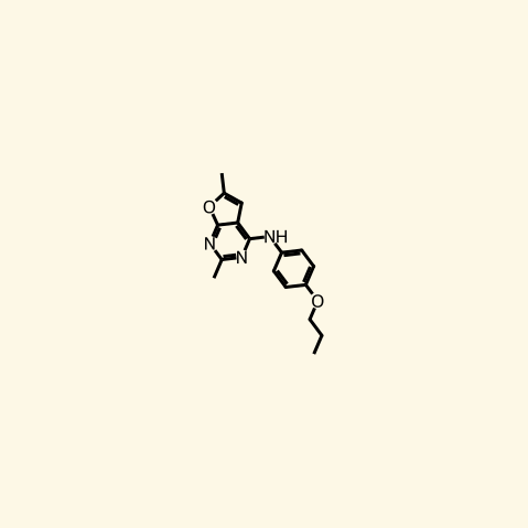 CCCOc1ccc(Nc2nc(C)nc3oc(C)cc23)cc1